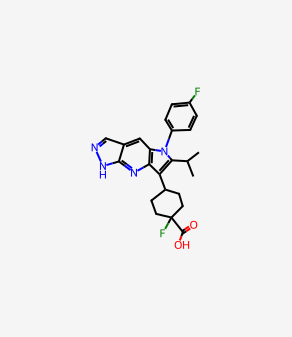 CC(C)c1c(C2CCC(F)(C(=O)O)CC2)c2nc3[nH]ncc3cc2n1-c1ccc(F)cc1